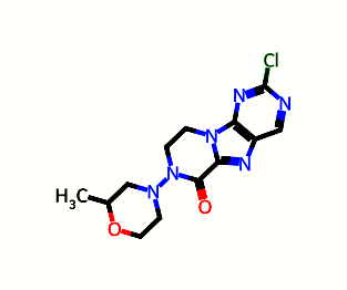 CC1CN(N2CCn3c(nc4cnc(Cl)nc43)C2=O)CCO1